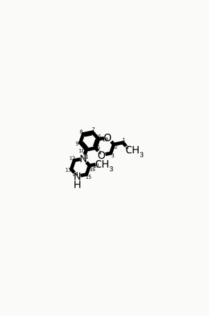 CCC1COc2c(cccc2N2CCNCC2C)O1